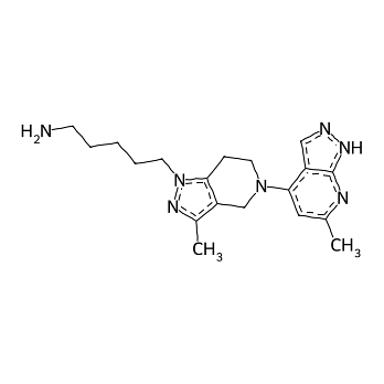 Cc1cc(N2CCc3c(c(C)nn3CCCCCN)C2)c2cn[nH]c2n1